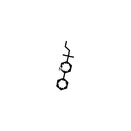 CCCC(C)(C)c1ccc(-c2ccccc2)nc1